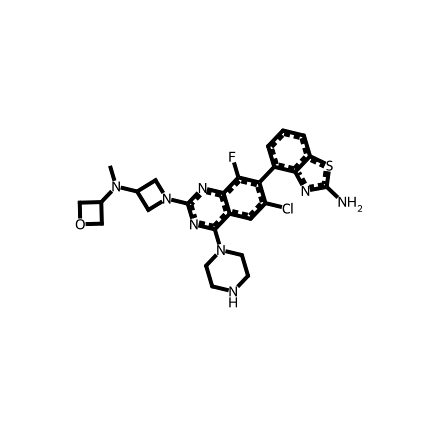 CN(C1COC1)C1CN(c2nc(N3CCNCC3)c3cc(Cl)c(-c4cccc5sc(N)nc45)c(F)c3n2)C1